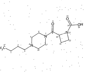 CCCCN1CCN(C(=O)C2CCN2C(=O)O)CC1